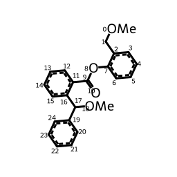 COCc1ccccc1OC(=O)c1ccccc1C(OC)c1ccccc1